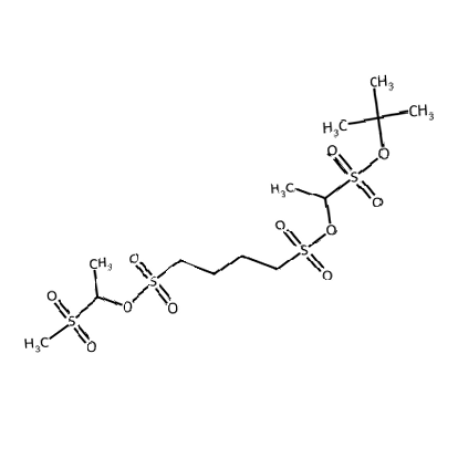 CC(OS(=O)(=O)CCCCS(=O)(=O)OC(C)S(=O)(=O)OC(C)(C)C)S(C)(=O)=O